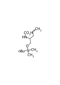 C=CCC(CO[Si](C)(C)CCCC)NC(=O)O